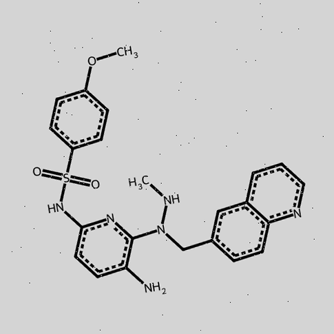 CNN(Cc1ccc2ncccc2c1)c1nc(NS(=O)(=O)c2ccc(OC)cc2)ccc1N